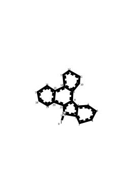 In1c2ccccc2c2c3ccccc3c3ccccc3c21